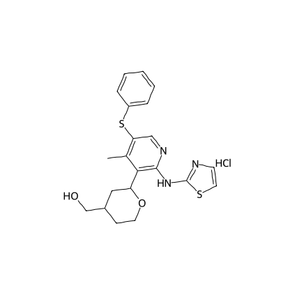 Cc1c(Sc2ccccc2)cnc(Nc2nccs2)c1C1CC(CO)CCO1.Cl